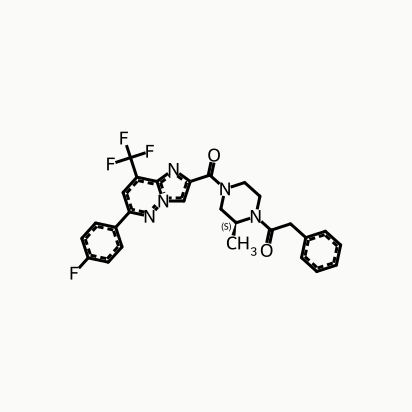 C[C@H]1CN(C(=O)c2cn3nc(-c4ccc(F)cc4)cc(C(F)(F)F)c3n2)CCN1C(=O)Cc1ccccc1